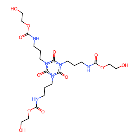 O=C(NCCCn1c(=O)n(CCCNC(=O)OCCO)c(=O)n(CCCNC(=O)OCCO)c1=O)OCCO